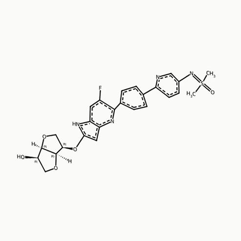 CS(C)(=O)=Nc1ccc(-c2ccc(-c3nc4cc(O[C@@H]5CO[C@H]6[C@@H]5OC[C@H]6O)[nH]c4cc3F)cc2)nc1